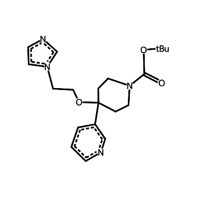 CC(C)(C)OC(=O)N1CCC(OCCn2ccnc2)(c2cccnc2)CC1